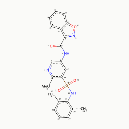 COc1ncc(NC(=O)c2noc3ccccc23)cc1S(=O)(=O)Nc1c(C)cccc1C